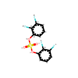 O=S(=O)(Oc1cccc(F)c1F)Oc1cccc(F)c1F